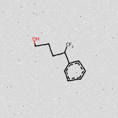 OCCCC(c1ccccc1)C(F)(F)F